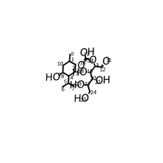 CC1CCC(C(C)C)C(O)C1.O=C[C@H](OC(=O)O)[C@@H](O)[C@H](O)[C@H](O)CO